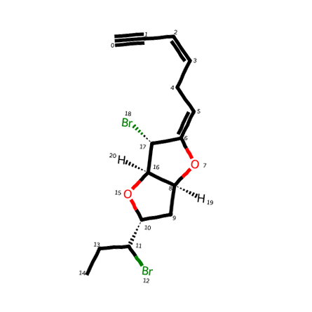 C#C/C=C\C/C=C1/O[C@H]2C[C@H](C(Br)CC)O[C@H]2[C@@H]1Br